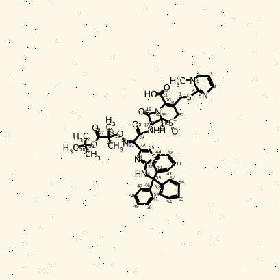 CN1CC=CN=C1SCC1=C(C(=O)O)N2C(=O)[C@@H](NC(=O)/C(=N\OC(C)(C)C(=O)OC(C)(C)C)c3csc(NC(c4ccccc4)(c4ccccc4)c4ccccc4)n3)[C@H]2[S@@+]([O-])C1